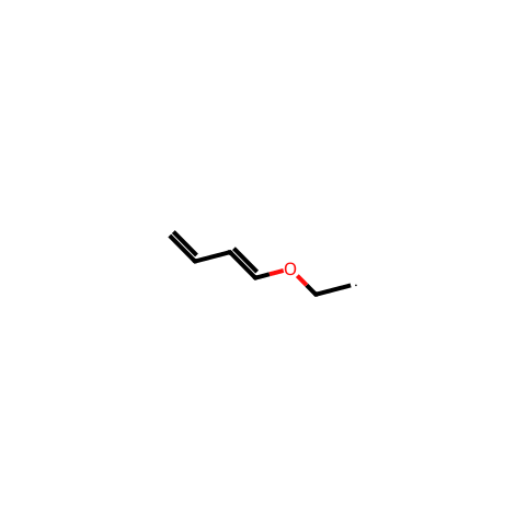 [CH2]COC=CC=C